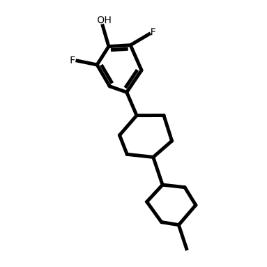 CC1CCC(C2CCC(c3cc(F)c(O)c(F)c3)CC2)CC1